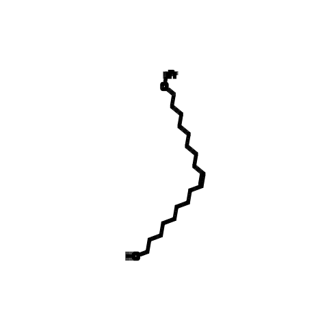 CCCOCCCCCCCC/C=C\CCCCCCCCO